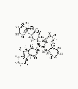 CC1(C)c2ccccc2-c2ccc(N(c3ccc4c(c3)C3CCC=CC3(C)O4)c3cc4ccccc4c4ccccc34)cc21